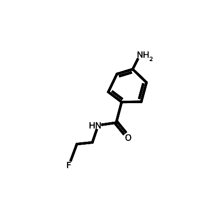 Nc1ccc(C(=O)NCCF)cc1